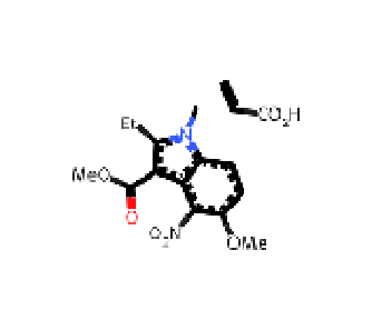 C=CC(=O)O.CCc1c(C(=O)OC)c2c([N+](=O)[O-])c(OC)ccc2n1C